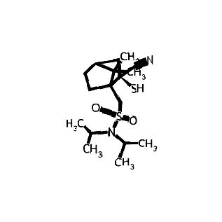 CC(C)N(C(C)C)S(=O)(=O)CC12CCC(C[C@]1(S)C#N)C2(C)C